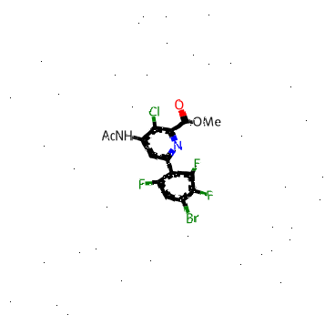 COC(=O)c1nc(-c2c(F)cc(Br)c(F)c2F)cc(NC(C)=O)c1Cl